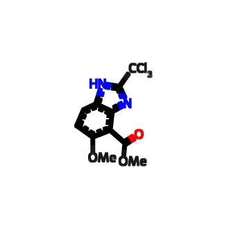 COC(=O)c1c(OC)ccc2[nH]c(C(Cl)(Cl)Cl)nc12